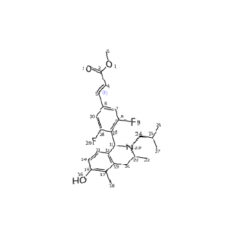 COC(=O)/C=C/c1cc(F)c(C2c3ccc(O)c(C)c3CC(C)N2CC(C)C)c(F)c1